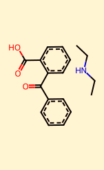 CCNCC.O=C(O)c1ccccc1C(=O)c1ccccc1